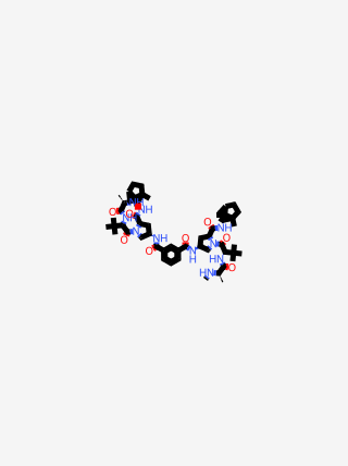 CN[C@@H](C)C(=O)NC(C(=O)N1C[C@@H](NC(=O)c2cccc(C(=O)N[C@H]3CC(C(=O)N[C@@H]4CC5CCC4(C)C5(C)C)N(C(=O)[C@@H](NC(=O)[C@H](C)NC)C(C)(C)C)C3)c2)CC1C(=O)N[C@@H]1CC2CCC1(C)C2(C)C)C(C)(C)C